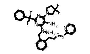 Nc1c(N(N)Cc2ccccc2CCSSc2ccccn2)nc(C(F)(F)c2ccccc2)nc1N1CCC(F)(F)C1